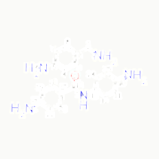 NCc1ccc(N)cc1.Nc1ccc(NC(=O)c2ccc(N)cc2)cc1